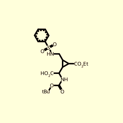 CCOC(=O)C1C(CNS(=O)(=O)c2ccccc2)C1C(NC(=O)OC(C)(C)C)C(=O)O